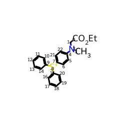 CCOC(=O)CN(C)c1ccc([S+](c2ccccc2)c2ccccc2)cc1